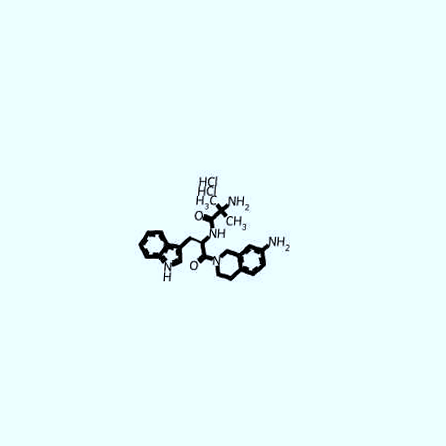 CC(C)(N)C(=O)N[C@H](Cc1c[nH]c2ccccc12)C(=O)N1CCc2ccc(N)cc2C1.Cl.Cl